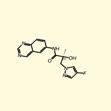 C[C@](O)(Cn1cc(F)cn1)C(=O)Nc1ccc2ncncc2c1